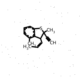 C#CC1(C)Sc2cccc(C)c2C1/C=C\C